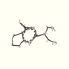 CCN(CC)c1nc(=O)c2c(o1)CCC2